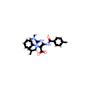 Cc1ccc(C(=O)NC2=C(C(=O)[O-])[N+](CC(C)C)(c3ccccc3)C(N(C)C)=N2)cc1